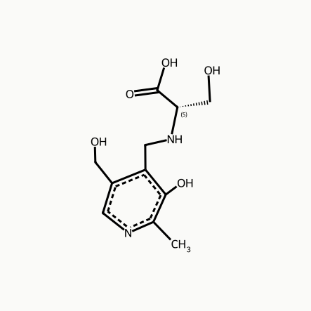 Cc1ncc(CO)c(CN[C@@H](CO)C(=O)O)c1O